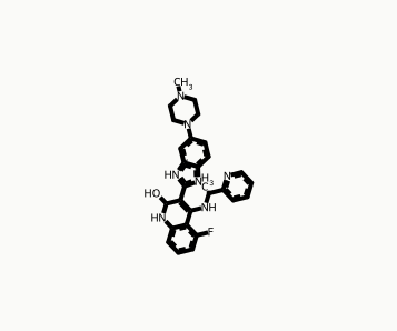 C[C@H](NC1=C(c2nc3ccc(N4CCN(C)CC4)cc3[nH]2)C(O)Nc2cccc(F)c21)c1ccccn1